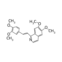 COc1ccc(C=Cc2nccc3cc(OC)c(OC)cc23)cc1OC